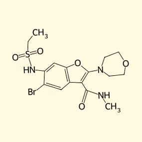 CCS(=O)(=O)Nc1cc2oc(N3CCOCC3)c(C(=O)NC)c2cc1Br